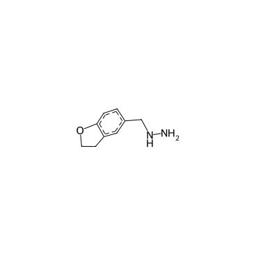 NNCc1ccc2c(c1)CCO2